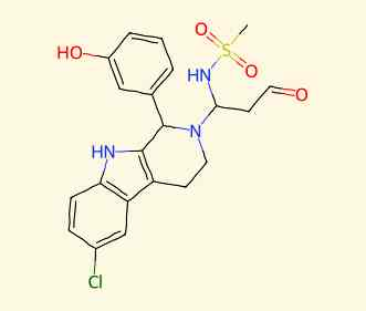 CS(=O)(=O)NC(CC=O)N1CCc2c([nH]c3ccc(Cl)cc23)C1c1cccc(O)c1